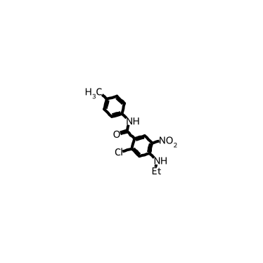 CCNc1cc(Cl)c(C(=O)Nc2ccc(C)cc2)cc1[N+](=O)[O-]